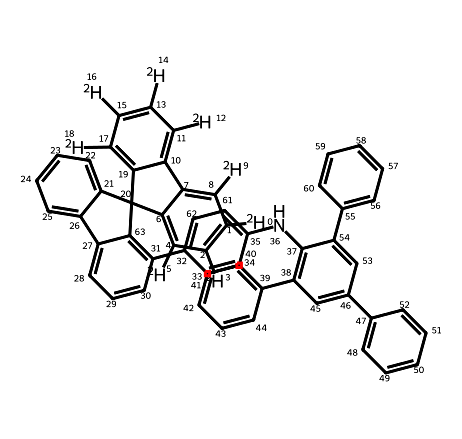 [2H]c1c([2H])c([2H])c2c(c1[2H])-c1c([2H])c([2H])c([2H])c([2H])c1C21c2ccccc2-c2cccc(-c3ccc(Nc4c(-c5ccccc5)cc(-c5ccccc5)cc4-c4ccccc4)cc3)c21